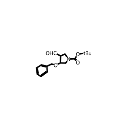 CC(C)(C)OC(=O)N1CC(C=O)C(OCc2ccccc2)C1